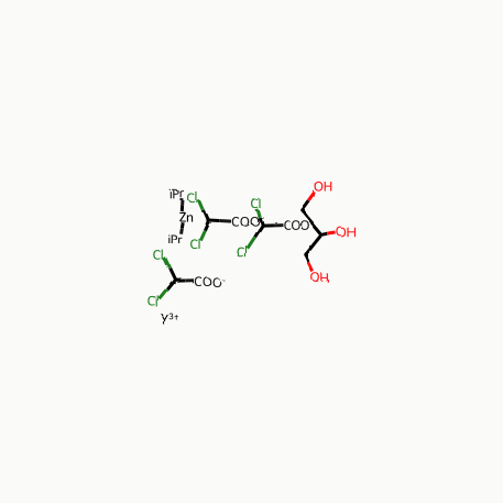 C[CH](C)[Zn][CH](C)C.O=C([O-])C(Cl)Cl.O=C([O-])C(Cl)Cl.O=C([O-])C(Cl)Cl.OCC(O)CO.[Y+3]